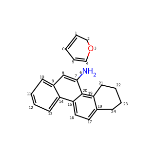 C1=CCOC=C1.Nc1cc2ccccc2c2ccc3c(c12)CCCC3